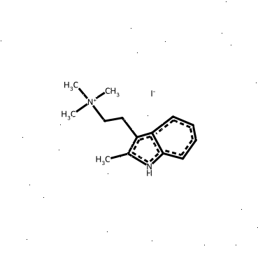 Cc1[nH]c2ccccc2c1CC[N+](C)(C)C.[I-]